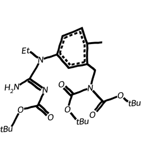 CCN(C(N)=NC(=O)OC(C)(C)C)c1ccc(C)c(CN(C(=O)OC(C)(C)C)C(=O)OC(C)(C)C)c1